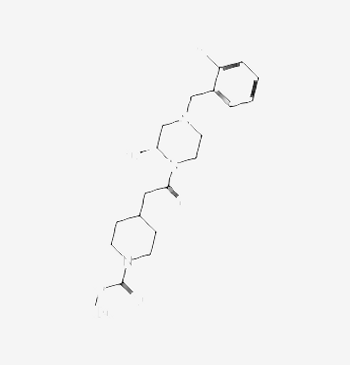 CC(C)(C)OC(=O)N1CCC(CC(=O)N2CCN(Cc3ccccc3Br)C[C@@H]2C(C)(C)C)CC1